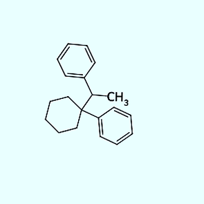 CC(c1ccccc1)C1(c2ccccc2)CCCCC1